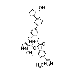 Cn1cncc1-c1ccc(NC(=O)C(Cc2cc(-c3ccnc(N4CCC[C@@H]4CO)c3)ccc2Cl)NC(=O)c2ccnn2C)cc1